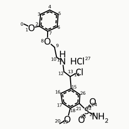 COc1ccccc1OCCNCC(Cl)c1ccc(OC)c(S(N)(=O)=O)c1.Cl